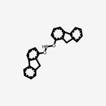 B(Oc1cccc2c1Cc1ccccc1-2)Oc1cccc2c1Cc1ccccc1-2